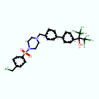 O=S(=O)(c1ccc(CBr)cc1)N1CCN(Cc2ccc(-c3ccc(C(O)(C(F)(F)F)C(F)(F)F)cc3)cc2)CC1